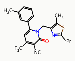 [C-]#[N+]c1c(C(F)(F)F)cc(-c2cccc(C)c2)n(Cc2nc(C(C)C)sc2C)c1=O